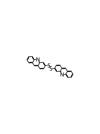 c1ccc2nc3cc(SSc4ccc5cc6ccccc6nc5c4)ccc3cc2c1